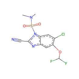 CN(C)S(=O)(=O)n1c(C#N)nc2cc(OC(F)F)c(Cl)cc21